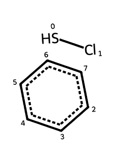 SCl.c1ccccc1